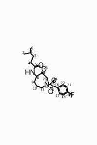 CC(C)CCC(=O)NC1CCCN(S(=O)(=O)c2ccc(F)cc2)CC1=O